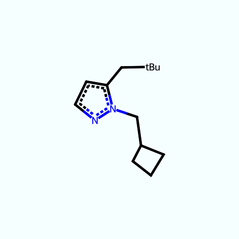 CC(C)(C)Cc1ccnn1CC1CCC1